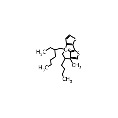 CCCCC(CC)[CH2][Ge]1([CH2]C(CC)CCCC)[c]2ccsc2-c2scc[c]21